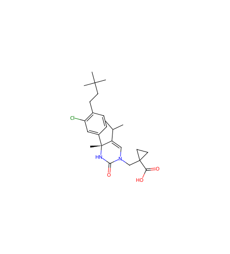 CC(C)C1=CN(CC2(C(=O)O)CC2)C(=O)N[C@]1(C)c1ccc(CCC(C)(C)C)c(Cl)c1